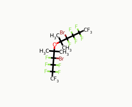 CC(C)(OC(C)(C)C(F)(Br)C(F)(F)C(F)(F)C(F)(F)F)C(F)(Br)C(F)(F)C(F)(F)C(F)(F)F